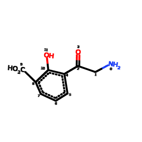 NCC(=O)c1cccc(C(=O)O)c1O